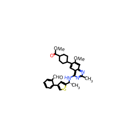 COC(=O)C1CCC(c2cc3c(N[C@H](C)c4cc(-c5ccccc5C=O)cs4)nc(C)nc3cc2OC)CC1